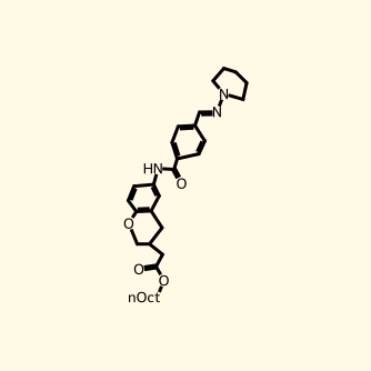 CCCCCCCCOC(=O)CC1COc2ccc(NC(=O)c3ccc(/C=N/N4CCCCC4)cc3)cc2C1